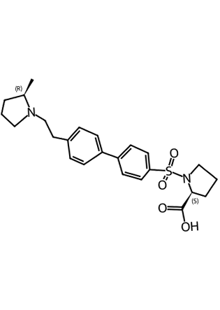 C[C@@H]1CCCN1CCc1ccc(-c2ccc(S(=O)(=O)N3CCC[C@H]3C(=O)O)cc2)cc1